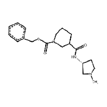 CN1CC[C@@H](NC(=O)C2CCCN(C(=O)OCc3ccccc3)C2)C1